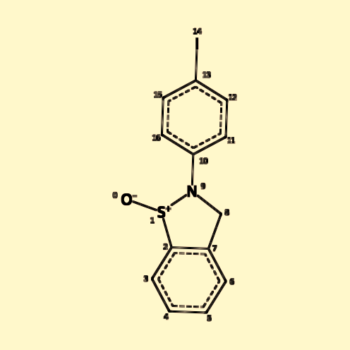 [O-][S+]1c2ccccc2CN1c1ccc(I)cc1